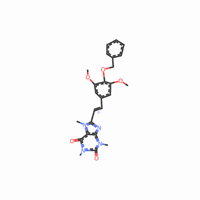 COc1cc(/C=C/c2nc3c(c(=O)n(C)c(=O)n3C)n2C)cc(OC)c1OCc1ccccc1